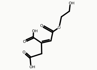 O=C(O)CC(=CC(=O)OCCO)C(=O)O